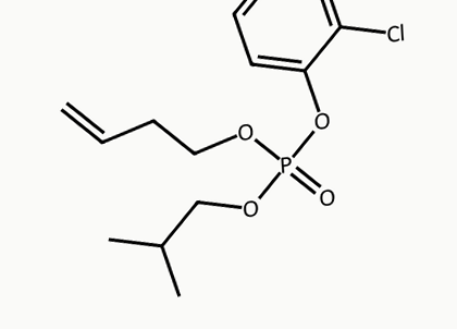 C=CCCOP(=O)(OCC(C)C)Oc1ccccc1Cl